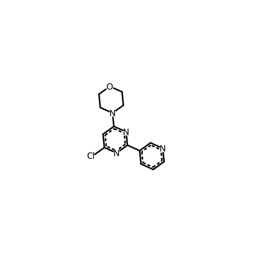 Clc1cc(N2CCOCC2)nc(-c2cccnc2)n1